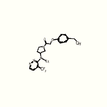 CCN(c1nnccc1C(F)(F)F)C1CCN(C(=O)COc2ccc(CO)cc2)C1